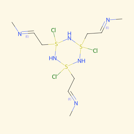 C/N=C/CS1(Cl)NS(Cl)(C/C=N/C)NS(Cl)(C/C=N/C)N1